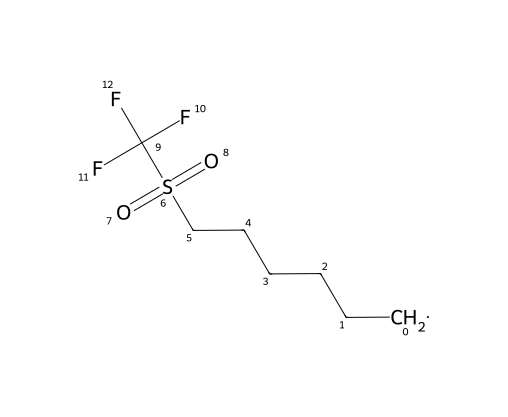 [CH2]CCCCCS(=O)(=O)C(F)(F)F